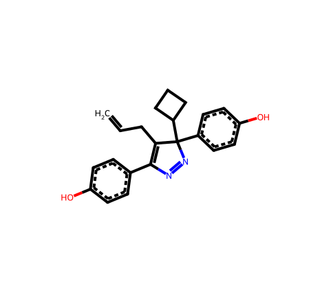 C=CCC1=C(c2ccc(O)cc2)N=NC1(c1ccc(O)cc1)C1CCC1